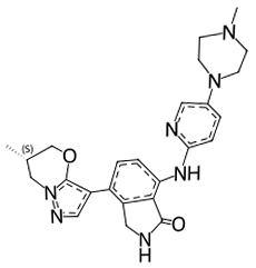 C[C@@H]1COc2c(-c3ccc(Nc4ccc(N5CCN(C)CC5)cn4)c4c3CNC4=O)cnn2C1